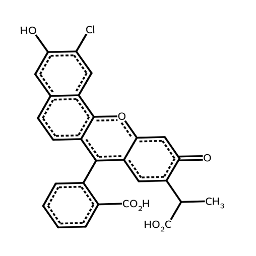 CC(C(=O)O)c1cc2c(-c3ccccc3C(=O)O)c3ccc4cc(O)c(Cl)cc4c3oc-2cc1=O